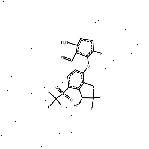 N=Cc1c(N)ccc(F)c1Oc1ccc(S(=O)(=O)C(F)(F)F)c2c1CC(F)(F)[C@H]2O